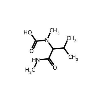 CNC(=O)C(C(C)C)N(C)C(=O)O